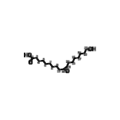 O=C(O)CCCCCCCCC1OC1CCCCCCCO